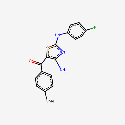 COc1ccc(C(=O)c2sc(Nc3ccc(F)cc3)nc2N)cc1